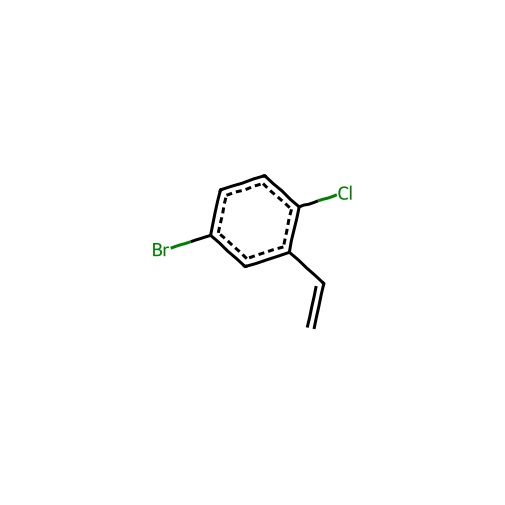 C=Cc1cc(Br)ccc1Cl